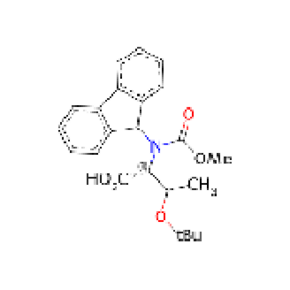 COC(=O)N(C1c2ccccc2-c2ccccc21)[C@@H](C(=O)O)C(C)OC(C)(C)C